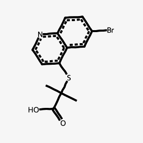 CC(C)(Sc1ccnc2ccc(Br)cc12)C(=O)O